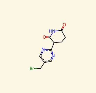 O=C1CCC(c2ncc(CBr)cn2)C(=O)N1